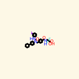 O=C(NCC(F)(F)C(=O)O)c1ccc(CN(C(=O)Nc2cccc(I)c2)c2ccc(C3CCCCC3)cc2)cc1